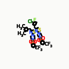 Cc1cc(C)cc(Cc2csc(N3CCN(S(=O)(=O)c4cccc(C(F)(F)F)c4)CC3)n2)c1.O=S(=O)(c1cccc(C(F)(F)F)c1)N1CCN(c2nc(Cc3ccc(F)c(Cl)c3)cs2)CC1